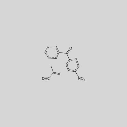 C=C(C)C=O.O=C(c1ccccc1)c1ccc([N+](=O)[O-])cc1